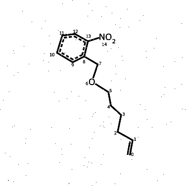 C=CCCCCOCc1ccccc1[N+](=O)[O-]